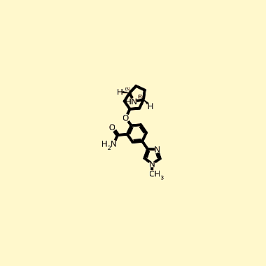 Cn1cnc(-c2ccc(OC3C[C@H]4CC[C@@H](C3)N4)c(C(N)=O)c2)c1